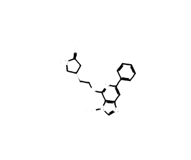 Cn1cnc2cc(-c3ccccc3)nc(OCC[C@H]3CNC(=O)C3)c21